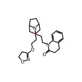 O=C1CCc2ccccc2N1CCCN1C2CCC1CC(CCOC1=NOCC1)C2